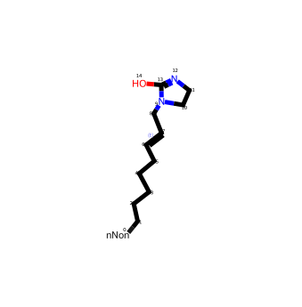 CCCCCCCCCCCCCC/C=C/CN1CCN=C1O